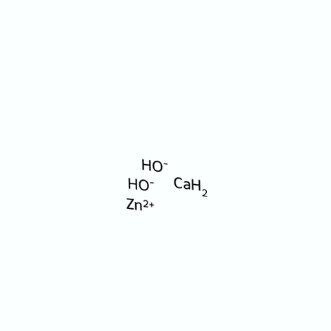 [CaH2].[OH-].[OH-].[Zn+2]